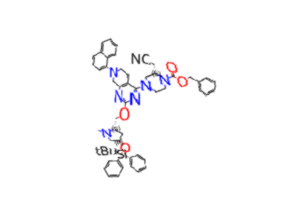 CN1C[C@H](O[Si](c2ccccc2)(c2ccccc2)C(C)(C)C)C[C@H]1COc1nc2c(c(N3CCN(C(=O)OCc4ccccc4)[C@@H](CC#N)C3)n1)CCN(c1cccc3ccccc13)C2